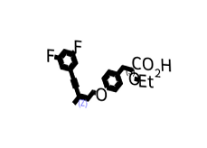 CCO[C@@H](Cc1ccc(OC/C=C(/C)C#Cc2cc(F)cc(F)c2)cc1)C(=O)O